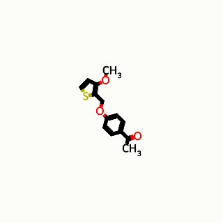 COc1ccsc1COc1ccc(C(C)=O)cc1